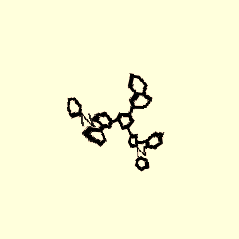 C1=CC(n2c3ccccc3c3cc(-c4cc(-c5ccc6c(c5)c5ccccc5n6-c5ccccc5)cc(C5C=C6C=CCCC6=CC5)c4)ccc32)=CCC1